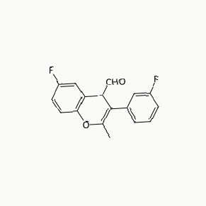 CC1=C(c2cccc(F)c2)C(C=O)c2cc(F)ccc2O1